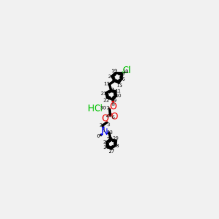 CN(CCOC(=O)COc1ccc(Cc2ccc(Cl)cc2)cc1)Cc1ccccc1.Cl